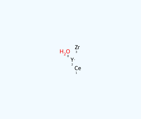 O.[Ce].[Y].[Zr]